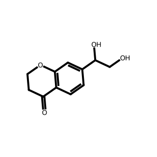 O=C1CCOc2cc(C(O)CO)ccc21